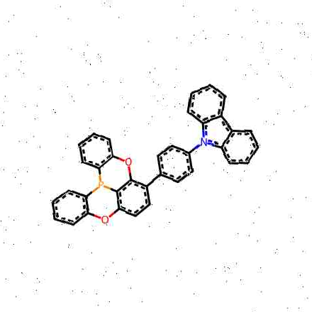 c1ccc2c(c1)Oc1ccc(-c3ccc(-n4c5ccccc5c5ccccc54)cc3)c3c1P2c1ccccc1O3